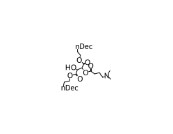 CCCCCCCCCCCCOC(=O)C(O)C(OC(=O)CCCN(C)C)C(=O)OCCCCCCCCCCCC